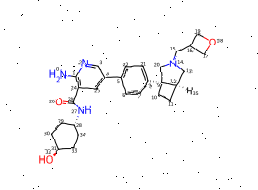 Nc1ncc(-c2ccc([C@@]34CC[C@@H]3CN(CC3COC3)C4)cc2)cc1C(=O)N[C@H]1CC[C@H](O)CC1